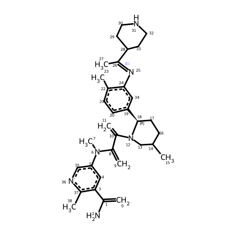 C=C(N)c1cc(N(C)C(=C)C(=C)N2CC(C)CC[C@@H]2c2ccc(C)c(/N=C(\C)C3CCNCC3)c2)cnc1C